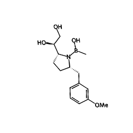 COc1cccc(C[C@@H]2CC[C@H]([C@@H](O)CO)N2B(C)O)c1